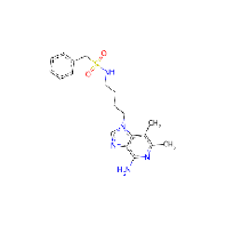 Cc1nc(N)c2ncn(CCCCNS(=O)(=O)Cc3ccccc3)c2c1C